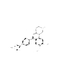 CCOc1cc2c(cc1OCC)C1CN(C)CCC1N=C2c1ccc(-c2nnn(CC)n2)cc1.Cl